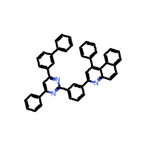 c1ccc(-c2cccc(-c3cc(-c4ccccc4)nc(-c4cccc(-c5cc(-c6ccccc6)c6c(ccc7ccccc76)n5)c4)n3)c2)cc1